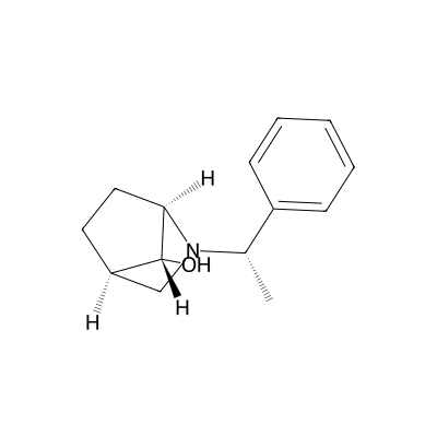 C[C@@H](c1ccccc1)N1C[C@H]2CC[C@@H]1[C@@H]2O